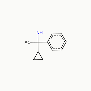 CC(=O)C([NH])(c1ccccc1)C1CC1